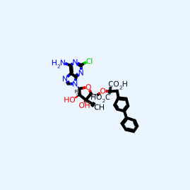 C#C[C@@]1(O)[C@@H](COC(Cc2ccc(-c3ccccc3)cc2)(C(=O)O)C(=O)O)O[C@@H](n2cnc3c(N)nc(Cl)nc32)[C@@H]1O